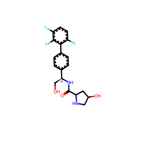 O=C(N[C@@H](CO)c1ccc(-c2c(F)ccc(F)c2F)cc1)C1CC(O)CN1